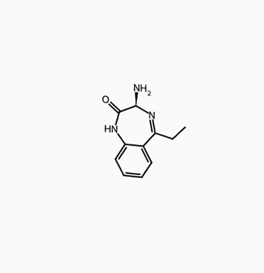 CCC1=N[C@H](N)C(=O)Nc2ccccc21